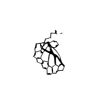 CCCCOC(=O)CCCC1(c2ccccc2)C23C=Cc4cc5c6c7c4C21c1c2c4c(cc8ccc9cc(c6c6c9c8c4c6c17)C5)CC2=C3